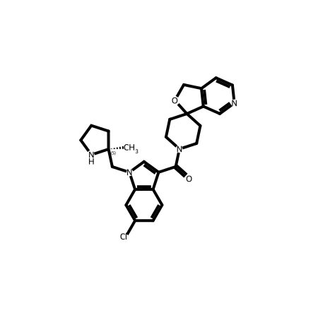 C[C@@]1(Cn2cc(C(=O)N3CCC4(CC3)OCc3ccncc34)c3ccc(Cl)cc32)CCCN1